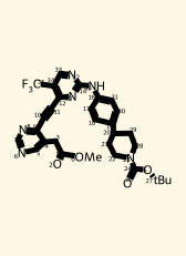 COC(=O)Cc1cncnc1C#Cc1nc(Nc2ccc(C3CCN(C(=O)OC(C)(C)C)CC3)cc2)ncc1C(F)(F)F